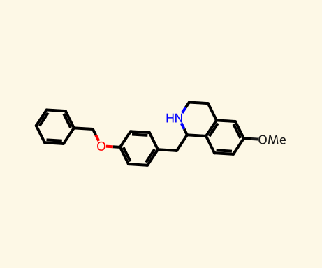 COc1ccc2c(c1)CCNC2Cc1ccc(OCc2ccccc2)cc1